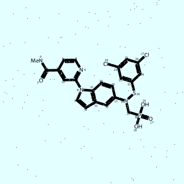 CNC(=O)c1ccnc(-n2ccc3cc(N(CP(=O)(O)O)Sc4cc(Cl)cc(Cl)c4)ccc32)c1